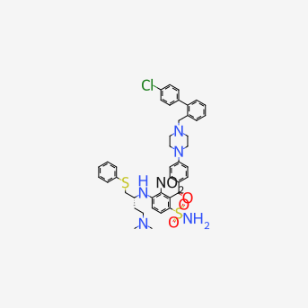 CN(C)CC[C@H](CSc1ccccc1)Nc1ccc(S(N)(=O)=O)c(C(=O)c2ccc(N3CCN(Cc4ccccc4-c4ccc(Cl)cc4)CC3)cc2)c1[N+](=O)[O-]